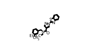 CCOC(=O)CN(Cc1cccc(C(F)(F)F)c1)C(=O)c1cnn(-c2nc3ccccc3s2)c1